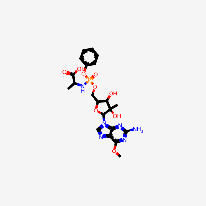 COc1nc(N)nc2c1ncn2C1OC(COP(=O)(NC(C)C(=O)O)Oc2ccccc2)C(O)C1(C)O